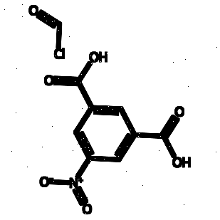 O=C(O)c1cc(C(=O)O)cc([N+](=O)[O-])c1.O=CCl